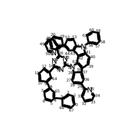 c1ccc(-c2cccc(-c3cccc(-c4nc(-c5ccccc5)nc(-n5c6ccc(-c7ccccn7)cc6c6ccc7c(c8cc(-c9ccccn9)ccc8n7-c7ccccc7)c65)n4)c3)c2)cc1